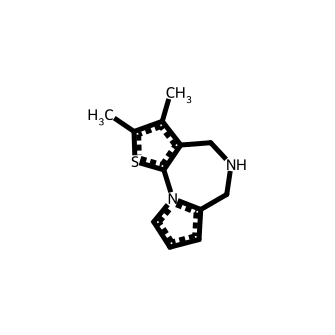 Cc1sc2c(c1C)CNCc1cccn1-2